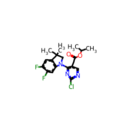 CC(C)OC(=O)c1cnc(Cl)nc1N1CC(C)(C)c2cc(F)c(F)cc21